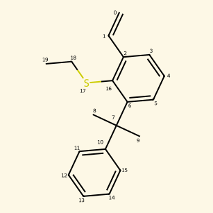 C=Cc1cccc(C(C)(C)c2ccccc2)c1SCC